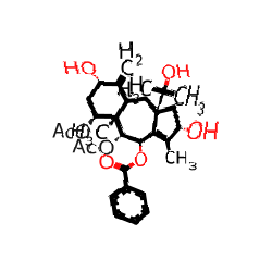 C=C1[C@H]2C[C@]3(C(C)(C)O)C[C@H](O)C(C)=C3[C@@H](OC(=O)c3ccccc3)[C@H](OC(C)=O)[C@]2(C)[C@@H](OC(C)=O)C[C@@H]1O